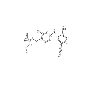 CCC[C@]1(CCc2ccc(Sc3cc(C#N)ccc3O)cc2Cl)CN1